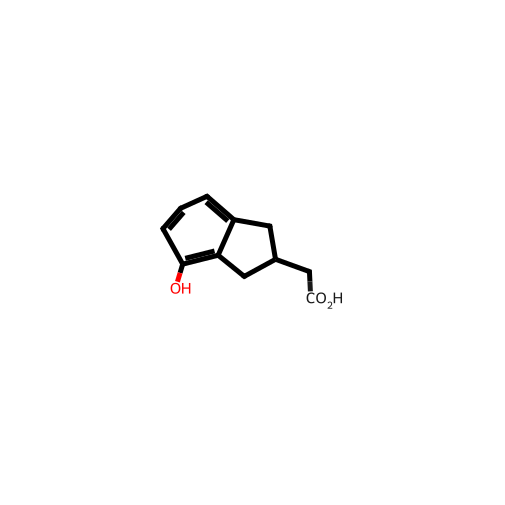 O=C(O)CC1Cc2cccc(O)c2C1